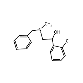 CN(Cc1ccccc1)CC(O)c1ccccc1Cl